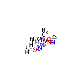 C[C@@H]1CN(c2nc(-n3ccc(OCC4C[C@H]5CC[C@@H]4C5)n3)ccc2C(=O)NS(=O)(=O)c2ccccc2)C(C)(C)C1